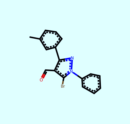 Cc1cccc(-c2nn(-c3ccccc3)c(Br)c2C=O)c1